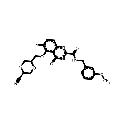 COc1cccc(CNC(=O)c2nc3ccc(F)c(OCC4COC(C#N)CO4)c3c(=O)[nH]2)c1